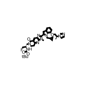 C[C@@H](COc1cccc2cc(-c3nc4cc5c(nc4n3C)CCN(C[C@@H](CF)NC(=O)OC(C)(C)C)C5=O)n(CC3CC3)c12)n1ccnc1